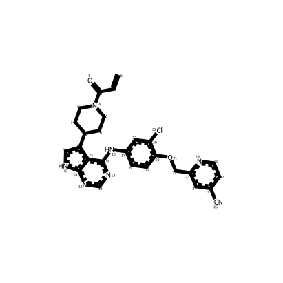 C=CC(=O)N1CCC(c2c[nH]c3ncnc(Nc4ccc(OCc5cc(C#N)ccn5)c(Cl)c4)c23)CC1